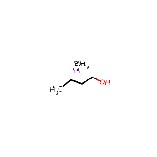 CCCCO.I.[BiH3]